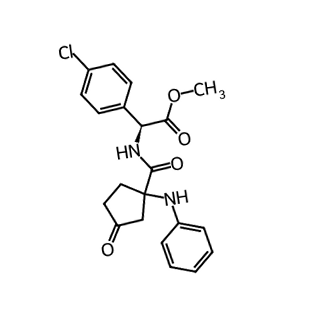 COC(=O)[C@@H](NC(=O)C1(Nc2ccccc2)CCC(=O)C1)c1ccc(Cl)cc1